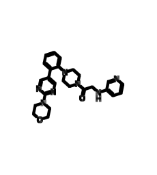 O=C(CNc1cccnc1)N1CCN(c2ccccc2-c2cnc(N3CCOCC3)nc2)CC1